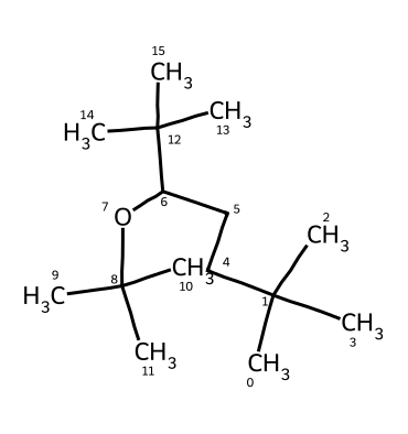 CC(C)(C)CCC(OC(C)(C)C)C(C)(C)C